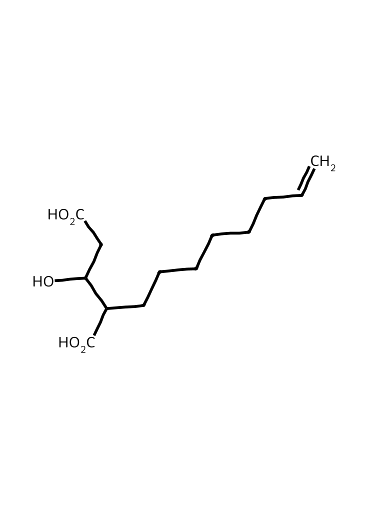 C=CCCCCCCC(C(=O)O)C(O)CC(=O)O